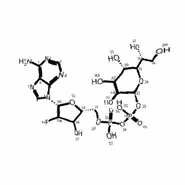 Nc1ncnc2c1ncn2[C@@H]1O[C@H](COP(=O)(O)OP(=O)(O)O[C@@H]2OC([C@H](O)CO)[C@@H](O)C(O)C2O)C(O)C1F